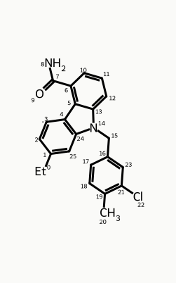 CCc1c[c]c2c3c(C(N)=O)cccc3n(Cc3ccc(C)c(Cl)c3)c2c1